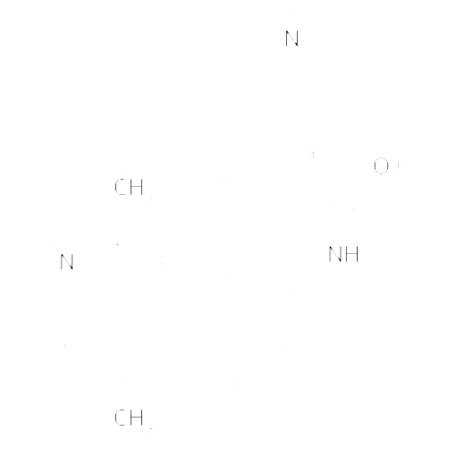 Cc1cnc(C)c2c1ccc1[nH]c(=O)c(C#N)cc12